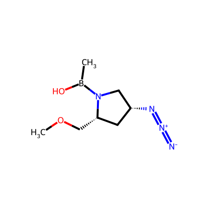 COC[C@H]1C[C@@H](N=[N+]=[N-])CN1B(C)O